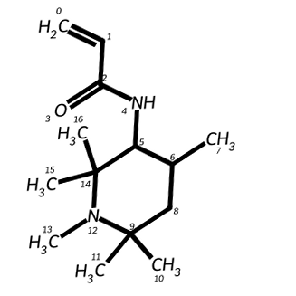 C=CC(=O)NC1C(C)CC(C)(C)N(C)C1(C)C